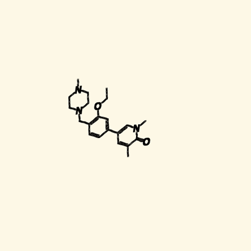 CCOc1cc(-c2cc(C)c(=O)n(C)c2)ccc1CN1CCN(C)CC1